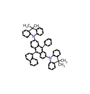 CC1(C)c2ccccc2N(c2ccc3c(-c4cccc5ccccc45)c4ccc(N5c6ccccc6C(C)(C)c6ccccc65)cc4c(-c4ccccc4)c3c2)c2ccccc21